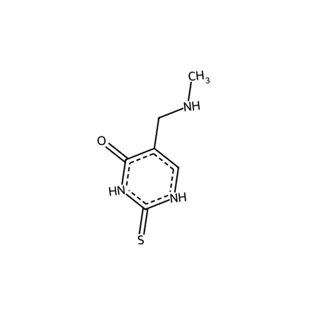 CNCc1c[nH]c(=S)[nH]c1=O